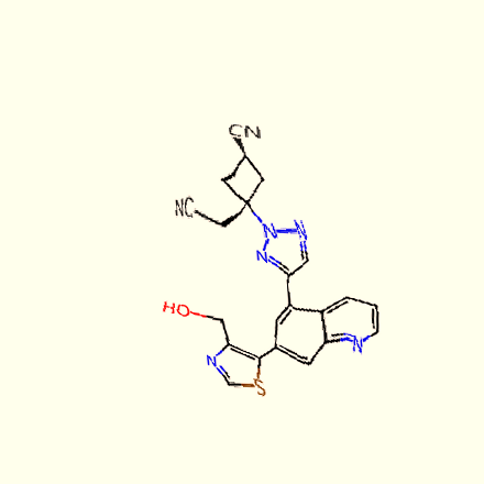 N#CC[C@]1(n2ncc(-c3cc(-c4scnc4CO)cc4ncccc34)n2)C[C@H](C#N)C1